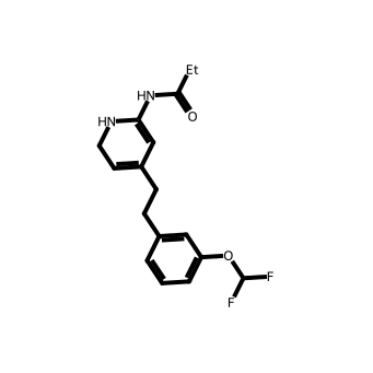 CCC(=O)NC1=CC(CCc2cccc(OC(F)F)c2)=CCN1